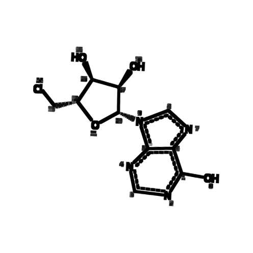 Oc1ncnc2c1ncn2[C@@H]1O[C@H](CCl)[C@@H](O)[C@H]1O